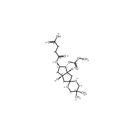 COC(=O)O[C@@H]1[C@@H]2CC3(C[C@@H]2C[C@H]1OC(=O)CCC(=O)O)OCC(C)(C)CO3